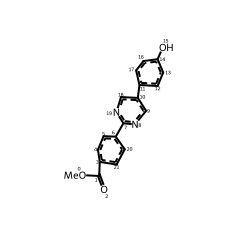 COC(=O)c1ccc(-c2ncc(-c3ccc(O)cc3)cn2)cc1